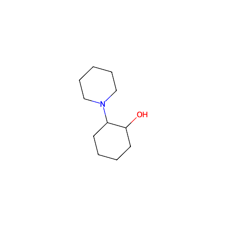 OC1CCCCC1N1CCCCC1